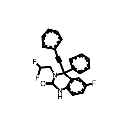 O=C1Nc2ccc(F)cc2C(C#Cc2ccccc2)(c2ccccc2)N1CC(F)F